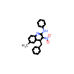 Cc1ccc2nc(Nc3ccccc3)c([N+](=O)[O-])c(Cc3ccccc3)c2c1